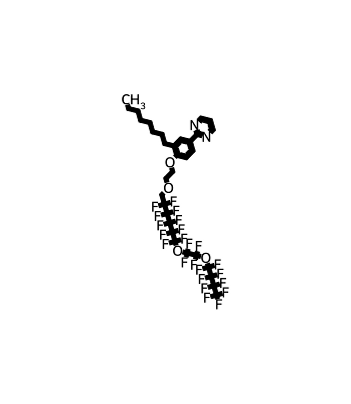 CCCCCCCCc1cc(-c2ncccn2)ccc1OCCOCC(F)(F)C(F)(F)C(F)(F)C(F)(F)C(F)(F)OC(F)(F)C(F)(F)OC(F)(F)C(F)(F)C(F)(F)C(F)(F)F